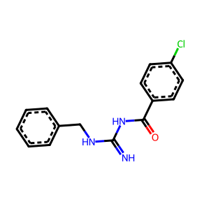 N=C(NCc1ccccc1)NC(=O)c1ccc(Cl)cc1